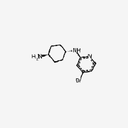 N[C@H]1CC[C@H](Nc2cc(Br)ccn2)CC1